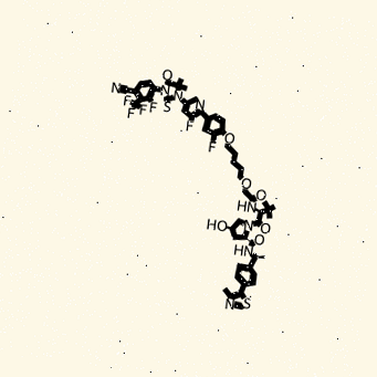 Cc1ncsc1-c1ccc([C@H](C)NC(=O)[C@@H]2C[C@@H](O)CN2C(=O)[C@@H](NC(=O)COCCCCCOc2ccc(-c3ncc(N4C(=S)N(c5ccc(C#N)c(C(F)(F)F)c5F)C(=O)C4(C)C)cc3F)cc2F)C(C)(C)C)cc1